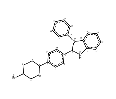 BrC1CCC(c2ccc(C3Nc4ccccc4N3c3ccccc3)cc2)CC1